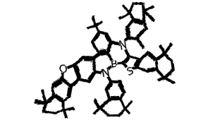 Cc1cc2c(cc1N1c3cc(C(C)(C)C)cc4c3B(c3sc5cc6c(cc5c31)C(C)(C)CCC6(C)C)N(c1ccc3c(c1)C(C)(C)CCC3(C)C)c1cc3c(cc1-4)oc1cc4c(cc13)C(C)(C)CCC4(C)C)C(C)(C)CCC2(C)C